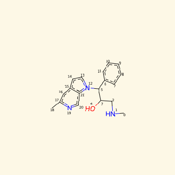 CNCC(O)C(c1ccccc1)n1ccc2cc(C)ncc21